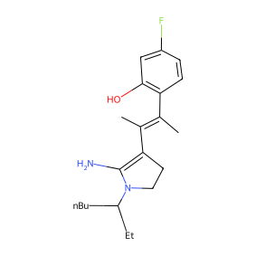 CCCCC(CC)N1CCC(/C(C)=C(\C)c2ccc(F)cc2O)=C1N